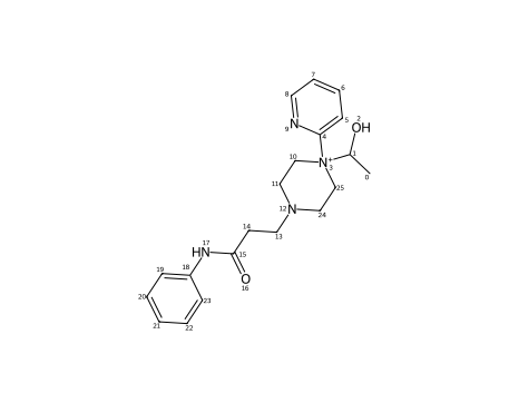 CC(O)[N+]1(c2ccccn2)CCN(CCC(=O)Nc2ccccc2)CC1